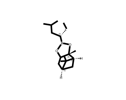 CC[C@@H](CC(C)C)B1OC2C[C@@H]3C[C@@H](C3(C)C)[C@@]2(C)O1